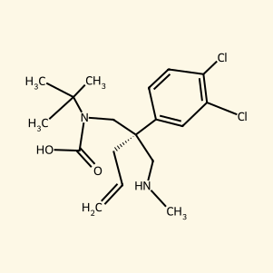 C=CC[C@](CNC)(CN(C(=O)O)C(C)(C)C)c1ccc(Cl)c(Cl)c1